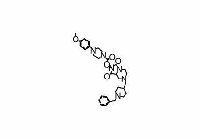 COc1ccc(N2CCN(C(=O)ON3C(=O)C4CN(CC5CCN(Cc6ccccc6)CC5)CCN4C3=O)CC2)cc1